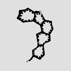 Fc1ccc2cc3ccc4oc5ccccc5c4c3cc2c1